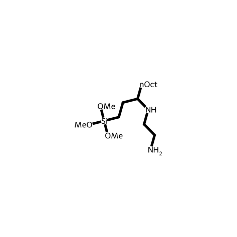 CCCCCCCCC(CC[Si](OC)(OC)OC)NCCN